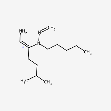 C=NN(CCCCC)/C(=C\N)CCC(C)C